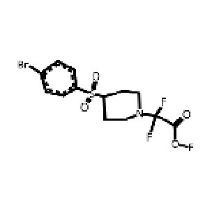 O=C(OF)C(F)(F)N1CCC(S(=O)(=O)c2ccc(Br)cc2)CC1